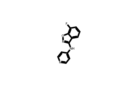 Fc1cccc2c(Nc3ccncc3)noc12